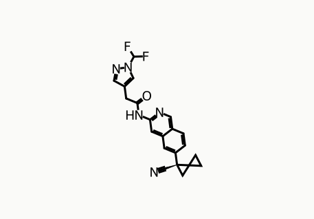 N#C[C@]1(c2ccc3cnc(NC(=O)Cc4cnn(C(F)F)c4)cc3c2)CC12CC2